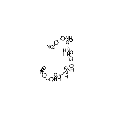 N#COc1ccc(Cc2ccc(NC(=O)OCCCNC(=O)Nc3ccc(Cc4ccc(NC(=O)NCCCOC(=O)Nc5ccc(Cc6ccc(N=C=O)cc6)cc5)cc4)cc3)cc2)cc1